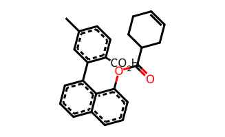 Cc1ccc(C(=O)O)c(-c2cccc3cccc(OC(=O)C4CC=CCC4)c23)c1